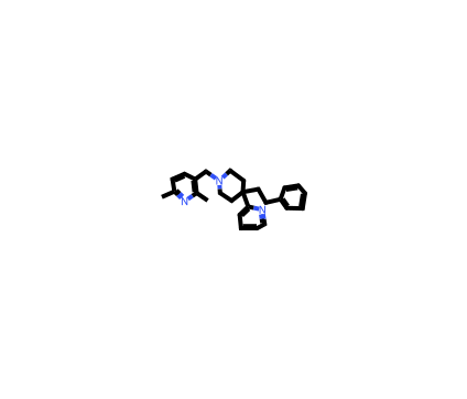 Cc1ccc(CN2CCC(CCc3ccccc3)(c3ccccn3)CC2)c(C)n1